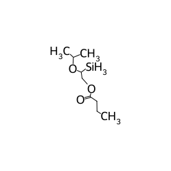 CCCC(=O)OCC([SiH3])OC(C)C